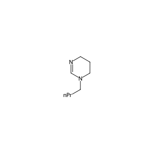 CCCCN1C=NCCC1